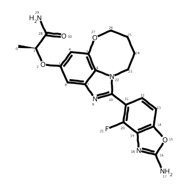 C[C@H](Oc1cc2c3c(c1)nc(-c1ccc4oc(N)nc4c1F)n3CCCCO2)C(N)=O